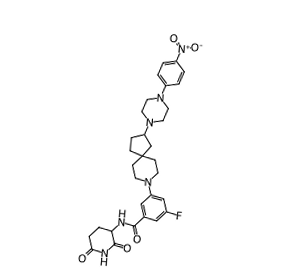 O=C1CCC(NC(=O)c2cc(F)cc(N3CCC4(CCC(N5CCN(c6ccc([N+](=O)[O-])cc6)CC5)C4)CC3)c2)C(=O)N1